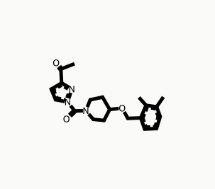 CC(=O)c1ccn(C(=O)N2CCC(OCc3cccc(C)c3C)CC2)n1